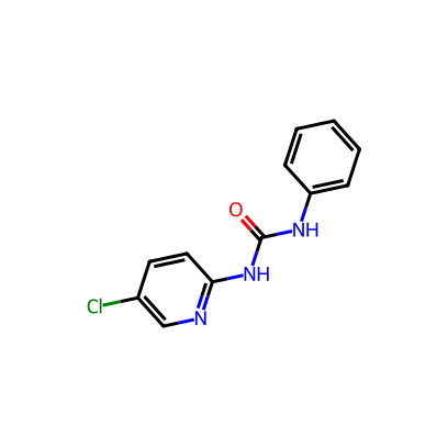 O=C(Nc1ccccc1)Nc1ccc(Cl)cn1